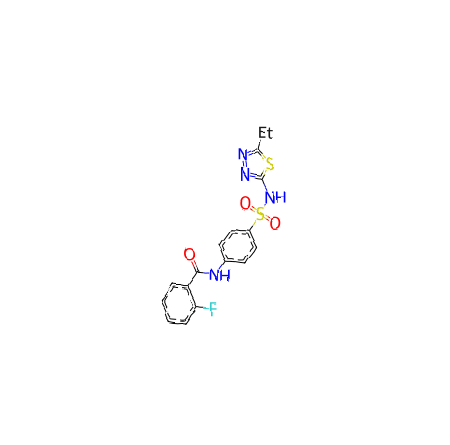 CCc1nnc(NS(=O)(=O)c2ccc(NC(=O)c3ccccc3F)cc2)s1